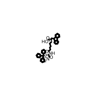 NC(=O)[C@H](CSC(c1ccccc1)(c1ccccc1)c1ccccc1)NC(=O)CCCCCN(CC1c2ccccc2-c2ccccc21)C(=O)O